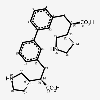 O=C(O)[C@H](Cc1cccc(-c2cccc(C[C@@H](C(=O)O)[C@@H]3CCNC3)c2)c1)[C@@H]1CCNC1